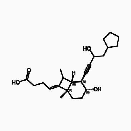 CC1C(=CCCC(=O)O)[C@@]2(C)CC[C@@H](O)[C@H](C#CC(O)CC3CCCC3)[C@@H]12